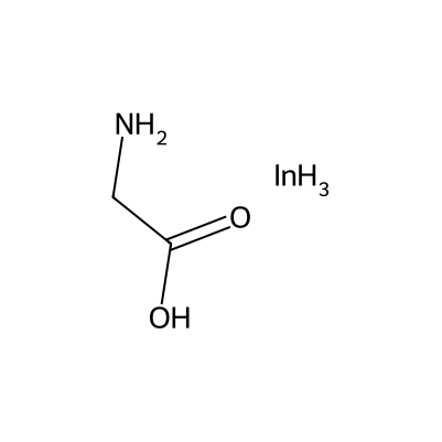 NCC(=O)O.[InH3]